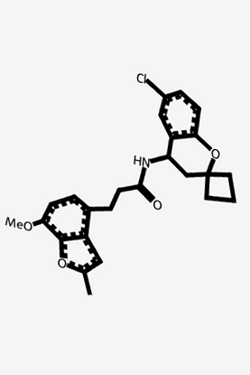 COc1ccc(CCC(=O)NC2CC3(CCC3)Oc3ccc(Cl)cc32)c2cc(C)oc12